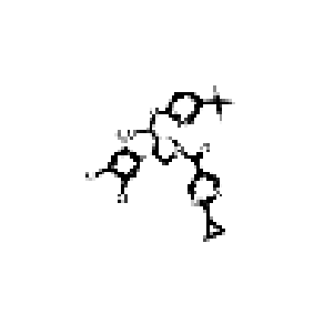 C[C@@H](Oc1ccc(C(F)(F)F)cn1)[C@@H]1CN(C(=O)c2cnc(C3CC3)nc2)C[C@@H]1c1ccc(Cl)c(Cl)c1